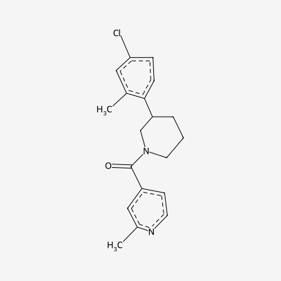 Cc1cc(C(=O)N2CCCC(c3ccc(Cl)cc3C)C2)ccn1